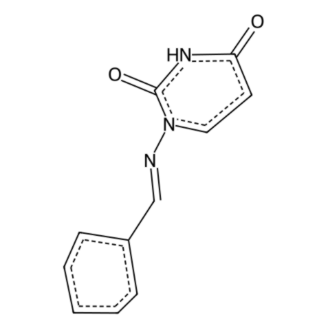 O=c1ccn(/N=C/c2ccccc2)c(=O)[nH]1